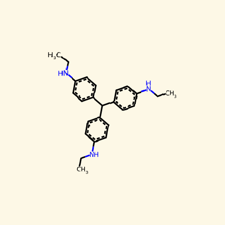 CCNc1ccc(C(c2ccc(NCC)cc2)c2ccc(NCC)cc2)cc1